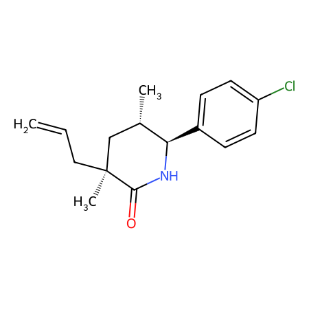 C=CC[C@@]1(C)C[C@H](C)[C@@H](c2ccc(Cl)cc2)NC1=O